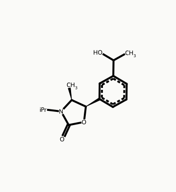 CC(O)c1cccc([C@H]2OC(=O)N(C(C)C)[C@H]2C)c1